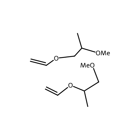 C=COC(C)COC.C=COCC(C)OC